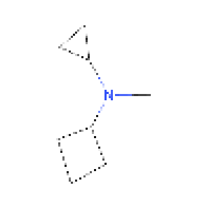 CN(C1CCC1)C1CC1